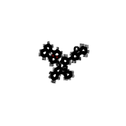 c1ccc(-c2cccc3cccc(-c4ccc(N(c5ccc(-c6ccc7c(c6)oc6ccccc67)cc5)c5cc6ccccc6c6c5oc5ccccc56)cc4)c23)cc1